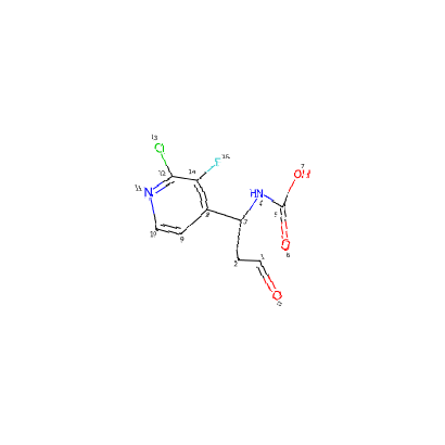 O=CCC(NC(=O)O)c1ccnc(Cl)c1F